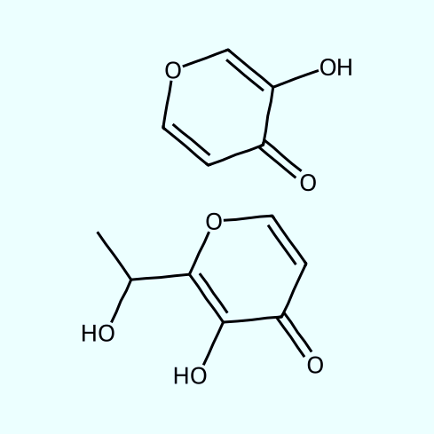 CC(O)c1occc(=O)c1O.O=c1ccocc1O